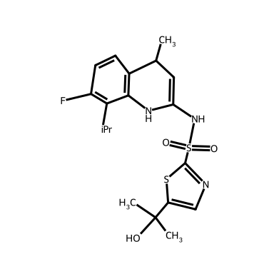 CC(C)c1c(F)ccc2c1NC(NS(=O)(=O)c1ncc(C(C)(C)O)s1)=CC2C